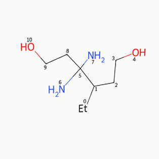 CCC(CCO)C(N)(N)CCO